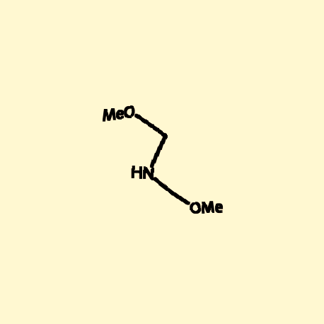 COCNOC